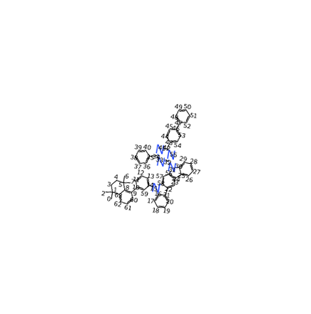 CC1(C)CCC(C)(C)c2c(-c3cccc(-n4c5ccccc5c5cc6c7ccccc7n(-c7nc(-c8ccccc8)nc(-c8ccc(-c9ccccc9)cc8)n7)c6cc54)c3)cccc21